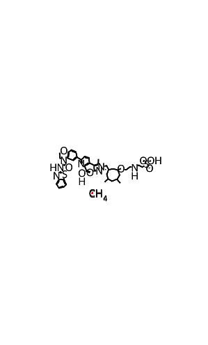 C.C.Cc1c(-c2ccc(-c3ccc4c(c3)N(C(=O)Nc3nc5ccccc5s3)CCO4)nc2C(=O)O)cnn1C[C]1CC(C)CC(C)CC(OCCNCCS(=O)(=O)O)C1